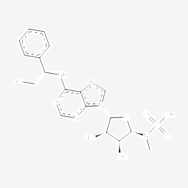 CN([C@@H]1O[C@@H](n2cnc3c(N[C@H](CO)c4ccccc4)ncnc32)[C@H](O)[C@@H]1O)S(=O)(=O)O